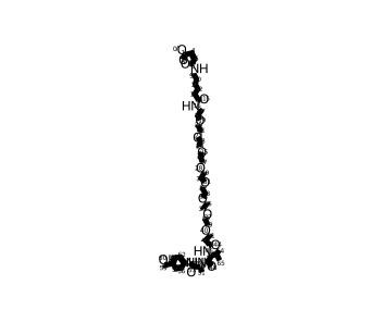 COC(=O)/C=C\C(=O)NCCCCCC(=O)NCCOCCOCCOCCOCCOCCOCCOCCOCCC(=O)NC(C(=O)NC(C)C(=O)Nc1ccc(CO)cc1)C(C)C